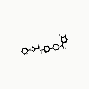 Cc1ccc(C(=O)N2CCC(c3ccc(NC(=O)C4CN(c5cccnn5)C4)cc3)CC2)cc1F